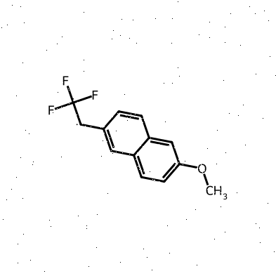 COc1ccc2cc([CH]C(F)(F)F)ccc2c1